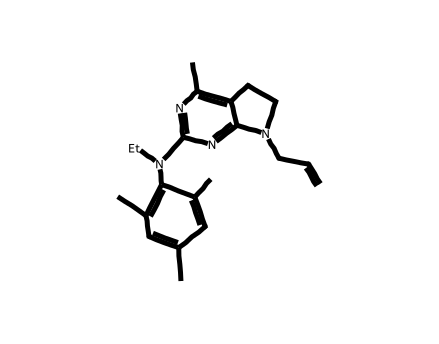 C=CCN1CCc2c(C)nc(N(CC)c3c(C)cc(C)cc3C)nc21